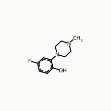 CN1CCN(c2cc(F)c[c]c2O)CC1